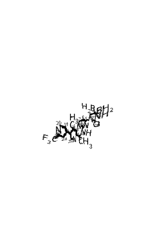 BC1(B)CN(c2ccnc(NC(C)c3cc(C)c(-c4ccnc(C(F)(F)F)c4)cn3)n2)C(=O)N1